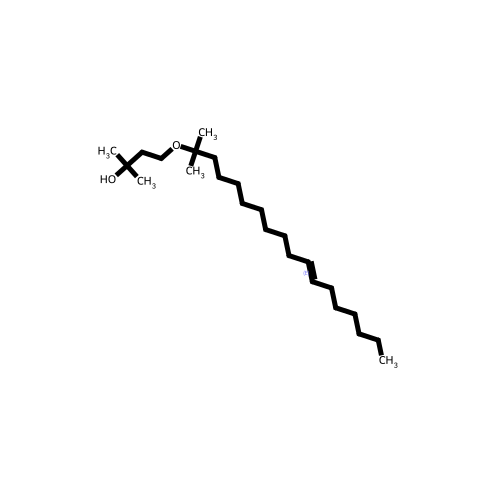 CCCCCC/C=C/CCCCCCCCC(C)(C)OCCC(C)(C)O